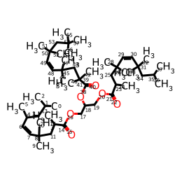 CC(C)CC(C)/C=C\C(C)(C)CC(C)C(=O)OCC(COC(=O)C(C)CC(C)(C)/C=C\C(C)(C)CC(C)C)OC(=O)C(C)(C)CC(C)(C)/C=C\C(C)(C)CC(C)(C)C